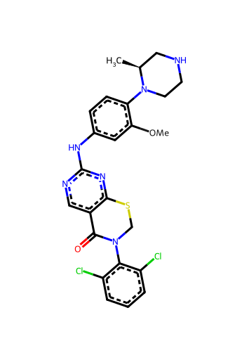 COc1cc(Nc2ncc3c(n2)SCN(c2c(Cl)cccc2Cl)C3=O)ccc1N1CCNC[C@@H]1C